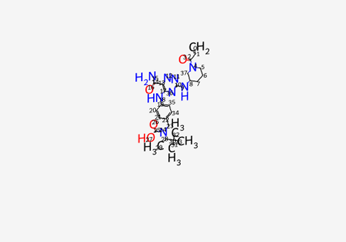 C=CC(=O)N1CCCC(Nc2nnc(C(N)=O)c(Nc3ccc(CN(C(=O)O)C(C)C(C)(C)C)cc3)n2)C1